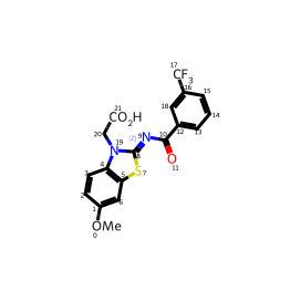 COc1ccc2c(c1)s/c(=N\C(=O)c1cccc(C(F)(F)F)c1)n2CC(=O)O